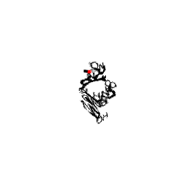 CCn1c(-c2cccnc2[C@H](C)OC)c2c3cc(ccc31)-c1csc(n1)C[C@H](NC(=O)[C@@H]1C[C@@H](O)CN1C)C(=O)N1CCC[C@H](N1)C(=O)OCC(C)(C)C2